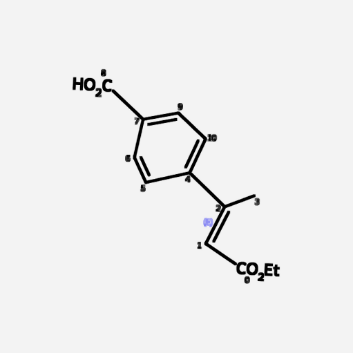 CCOC(=O)/C=C(\C)c1ccc(C(=O)O)cc1